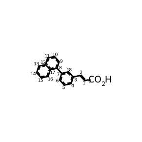 O=C(O)/C=C/c1cccc(-c2cccc3ccccc23)c1